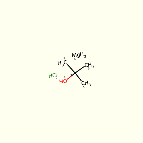 CC(C)(C)O.Cl.[MgH2]